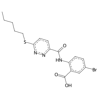 CCCCCSc1ccc(C(=O)Nc2ccc(Br)cc2C(=O)O)nn1